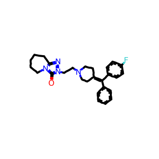 O=c1n(CCN2CCC(=C(c3ccccc3)c3ccc(F)cc3)CC2)nc2n1CCCCC2